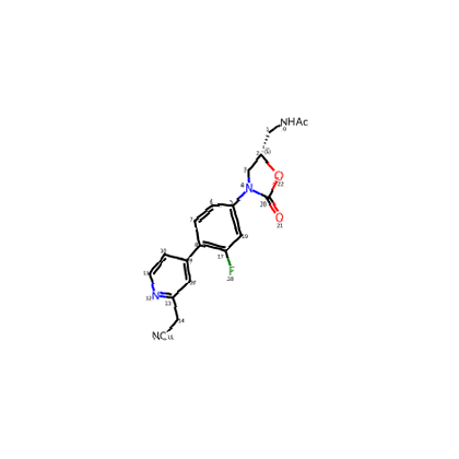 CC(=O)NC[C@H]1CN(c2ccc(-c3ccnc(CC#N)c3)c(F)c2)C(=O)O1